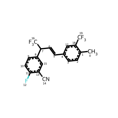 Cc1ccc(/C=C/C(c2ccc(F)c(C#N)c2)C(F)(F)F)cc1C(F)(F)F